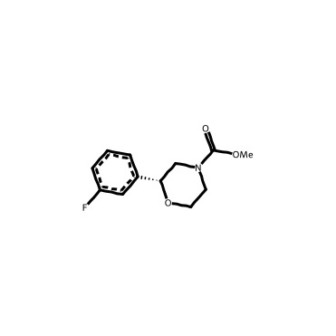 COC(=O)N1CCO[C@H](c2cccc(F)c2)C1